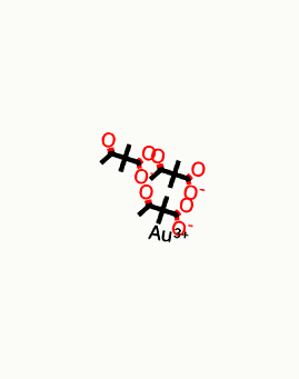 CC(=O)C(C)(C)C(=O)[O-].CC(=O)C(C)(C)C(=O)[O-].CC(=O)C(C)(C)C(=O)[O-].[Au+3]